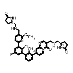 COc1nc(-c2cc(F)cc(-c3cccc(-c4ccn5c(=O)c(CNC[C@H]6CCC(=O)N6)cnc5c4)c3C)c2Cl)ccc1CNC[C@@H]1CCC(=O)N1